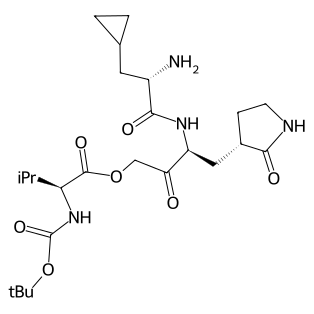 CC(C)[C@H](NC(=O)OC(C)(C)C)C(=O)OCC(=O)[C@H](C[C@@H]1CCNC1=O)NC(=O)[C@@H](N)CC1CC1